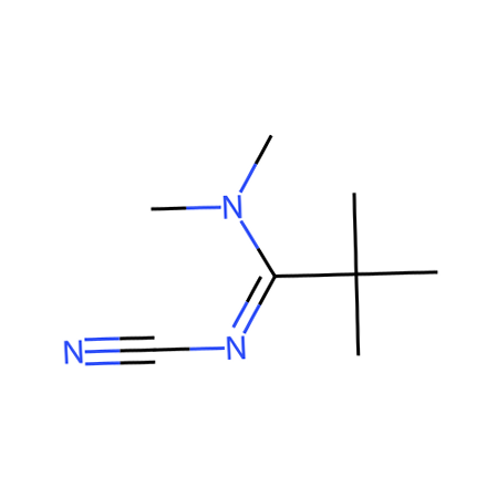 CN(C)/C(=N\C#N)C(C)(C)C